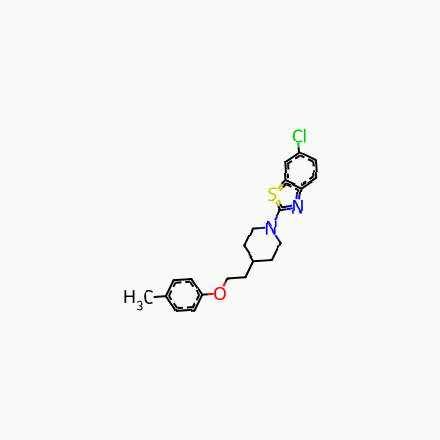 Cc1ccc(OCCC2CCN(c3nc4ccc(Cl)cc4s3)CC2)cc1